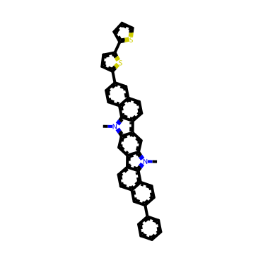 Cn1c2cc3c4ccc5cc(-c6ccc(-c7cccs7)s6)ccc5c4n(C)c3cc2c2ccc3cc(-c4ccccc4)ccc3c21